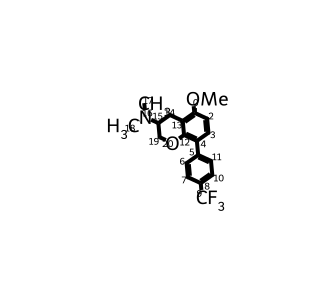 COc1ccc(-c2ccc(C(F)(F)F)cc2)c2c1CC(N(C)C)CO2